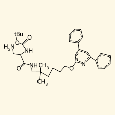 CC(C)(CCCCOc1cc(-c2ccccc2)cc(-c2ccccc2)n1)CNC(=O)C(CN)NC(=O)OC(C)(C)C